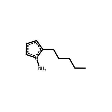 CCCCCc1cccn1N